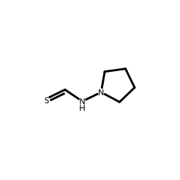 S=CNN1CCCC1